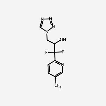 OC(Cn1cnnn1)C(F)(F)c1ccc(C(F)(F)F)cn1